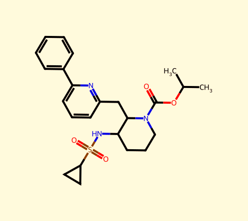 CC(C)OC(=O)N1CCCC(NS(=O)(=O)C2CC2)C1Cc1cccc(-c2ccccc2)n1